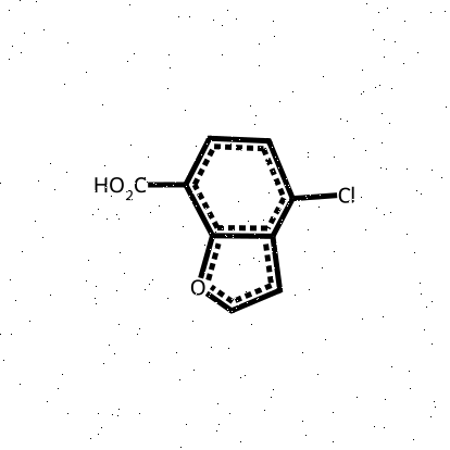 O=C(O)c1ccc(Cl)c2ccoc12